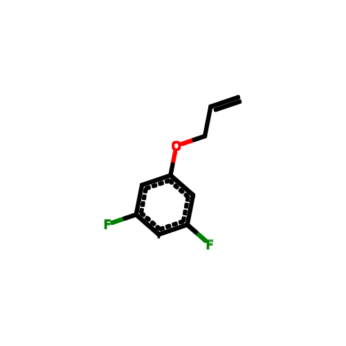 C=CCOc1cc(F)[c]c(F)c1